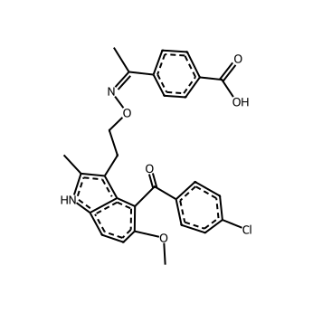 COc1ccc2[nH]c(C)c(CCON=C(C)c3ccc(C(=O)O)cc3)c2c1C(=O)c1ccc(Cl)cc1